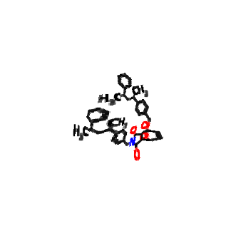 CC(CC(C)c1ccc(COC23C=CC(O2)C2=C3C(=O)N(Cc3ccc(C(C)CC(C)c4ccccc4)cc3)C2=O)cc1)c1ccccc1